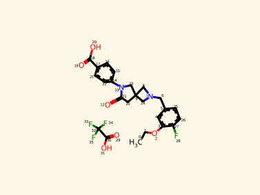 CCOc1cc(CN2CC3(CC(=O)N(c4ccc(C(=O)O)cc4)C3)C2)ccc1F.O=C(O)C(F)(F)F